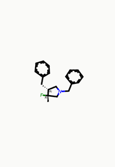 C[C@]1(F)CN(Cc2ccccc2)C[C@H]1Cc1ccccc1